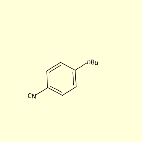 [C-]#[N+]c1ccc(CCCC)cc1